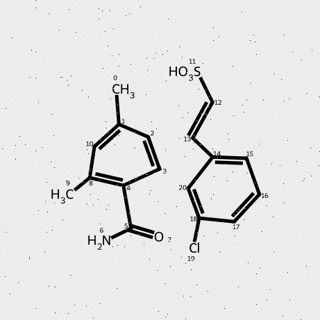 Cc1ccc(C(N)=O)c(C)c1.O=S(=O)(O)C=Cc1cccc(Cl)c1